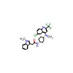 Cn1cc(CC(=O)N[C@H]2CC[C@@H](N(C)c3cc(C(F)(F)F)nc4ccc(Cl)cc34)CC2)c2ccccc21